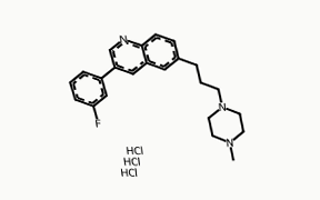 CN1CCN(CCCc2ccc3ncc(-c4cccc(F)c4)cc3c2)CC1.Cl.Cl.Cl